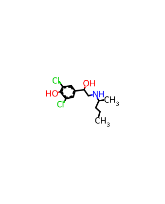 CCCC(C)NCC(O)c1cc(Cl)c(O)c(Cl)c1